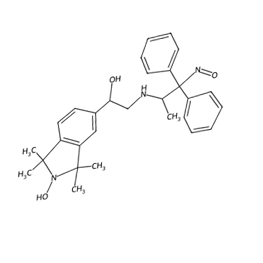 CC(NCC(O)c1ccc2c(c1)C(C)(C)N(O)C2(C)C)C(N=O)(c1ccccc1)c1ccccc1